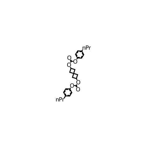 CCCc1ccc(OC(=O)OC2CC3(C2)CC(OC(=O)Oc2ccc(CCC)cc2)C3)cc1